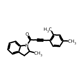 Cc1ccc(C#CC(=O)N2c3ccccc3CC2C)c(C)c1